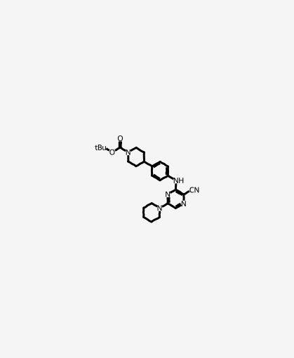 CC(C)(C)OC(=O)N1CCC(c2ccc(Nc3nc(N4CCCCC4)cnc3C#N)cc2)CC1